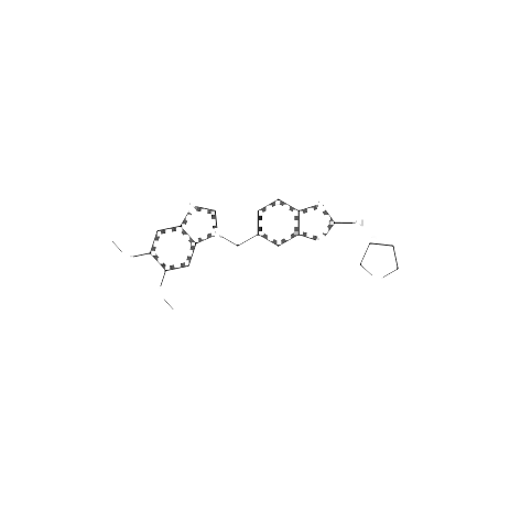 COc1cc2ncn(Cc3ccc4nc(N[C@@H]5CCOC5)sc4c3)c2cc1OC